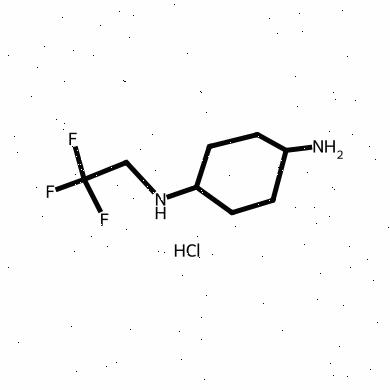 Cl.NC1CCC(NCC(F)(F)F)CC1